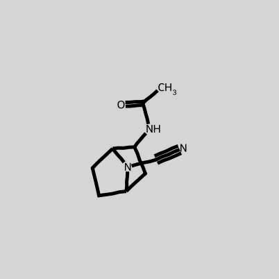 CC(=O)NC1CC2CCC1N2C#N